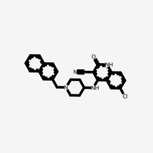 N#Cc1c(NC2CCN(Cc3ccc4ccccc4c3)CC2)c2cc(Cl)ccc2[nH]c1=O